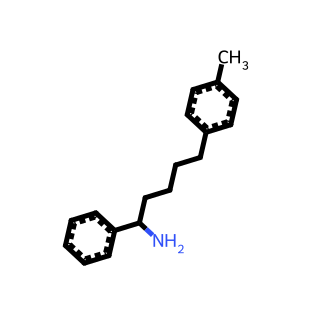 Cc1ccc(CCCCC(N)c2ccccc2)cc1